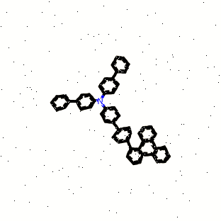 c1ccc(-c2ccc(N(c3ccc(-c4ccccc4)cc3)c3ccc(-c4ccc(-c5cccc6c7ccccc7c7ccccc7c56)cc4)cc3)cc2)cc1